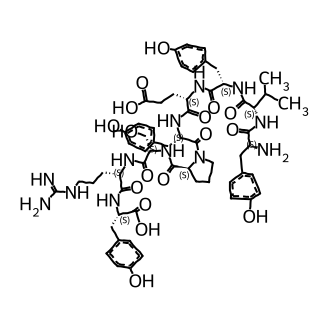 CC(C)[C@H](NC(=O)[C@@H](N)Cc1ccc(O)cc1)C(=O)N[C@@H](Cc1ccc(O)cc1)C(=O)N[C@@H](CCC(=O)O)C(=O)N[C@@H](Cc1ccc(O)cc1)C(=O)N1CCC[C@H]1C(=O)N[C@@H](CO)C(=O)N[C@@H](CCCNC(=N)N)C(=O)N[C@@H](Cc1ccc(O)cc1)C(=O)O